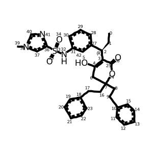 CC[C@@H](C1=C(O)CC(CCc2ccccc2)(CCc2ccccc2)OC1=O)c1cccc(NS(=O)(=O)c2cn(C)cn2)c1